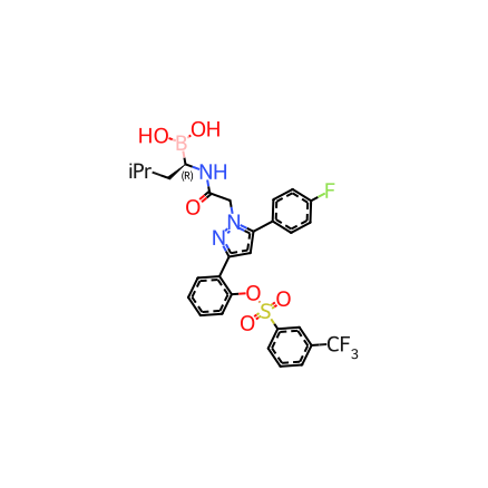 CC(C)C[C@H](NC(=O)Cn1nc(-c2ccccc2OS(=O)(=O)c2cccc(C(F)(F)F)c2)cc1-c1ccc(F)cc1)B(O)O